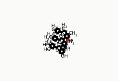 Cc1ccc(C2Oc3c(c(C)c[c]([Mo])c3C3c4c(C)c[c]([Mo])c(C5c6c(O)cc(O)cc6OC(c6ccc(O)c(O)c6)C5C)c4OC(c4ccc(C)c(C)c4)C3C)CC2C)cc1C